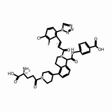 N[C@@H](CCC(=O)N1CC=C(c2cccc3c2CCN(C(=O)/C=C/c2c(-n4cnnn4)ccc(Cl)c2F)C3C(=O)Nc2ccc(C(=O)O)cc2)CC1)C(=O)O